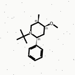 CO[C@H]1C[C@H](c2ccccc2)N(C(C)(C)C)C[C@H]1C